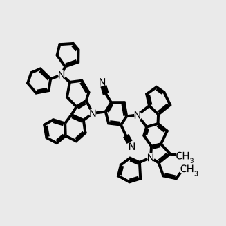 C/C=C\c1c(C)c2cc3c4ccccc4n(-c4cc(C#N)c(-n5c6c(c7c8ccccc8ccc75)CC(N(C5=CCCC=C5)C5=CC=CCC5)C=C6)cc4C#N)c3cc2n1-c1ccccc1